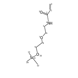 C=CC(=O)NCCOCCO[Si](C)(C)C